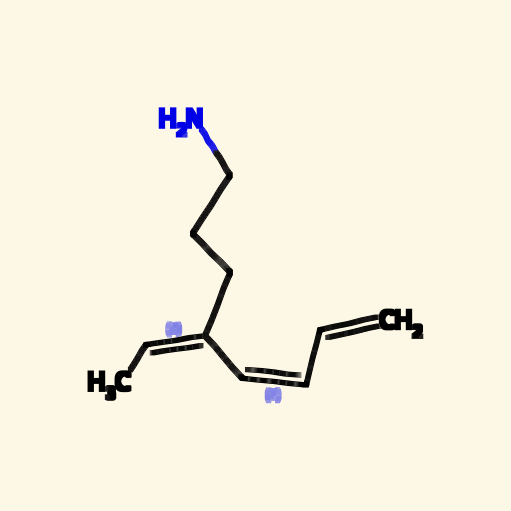 C=C/C=C\C(=C/C)CCCN